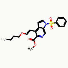 CCCCOC=Cc1c(C(=O)OC)ncc2c1ccn2S(=O)(=O)c1ccccc1